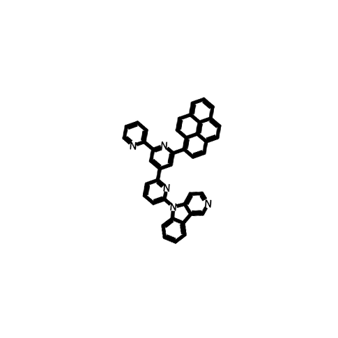 c1ccc(-c2cc(-c3cccc(-n4c5ccccc5c5cnccc54)n3)cc(-c3ccc4ccc5cccc6ccc3c4c56)n2)nc1